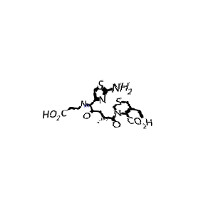 C=CC1=C(C(=O)O)N(C(=O)[C@H](C)CC(=O)/C(=N\CCC(=O)O)c2csc(N)n2)CSC1